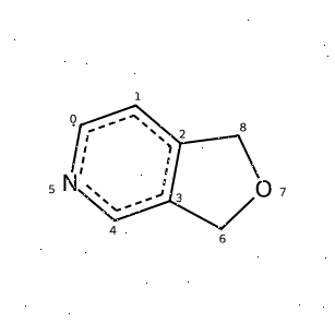 [c]1cc2c(cn1)COC2